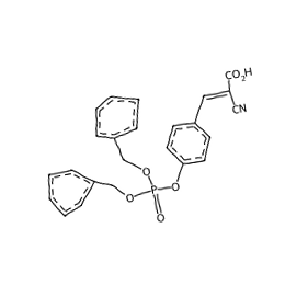 N#C/C(=C\c1ccc(OP(=O)(OCc2ccccc2)OCc2ccccc2)cc1)C(=O)O